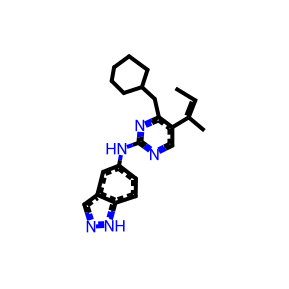 C/C=C(/C)c1cnc(Nc2ccc3[nH]ncc3c2)nc1CC1CCCCC1